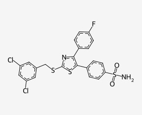 NS(=O)(=O)c1ccc(-c2sc(SCc3cc(Cl)cc(Cl)c3)nc2-c2ccc(F)cc2)cc1